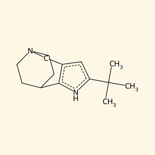 CC(C)(C)c1cc2c([nH]1)C1CCN(CC1)C2